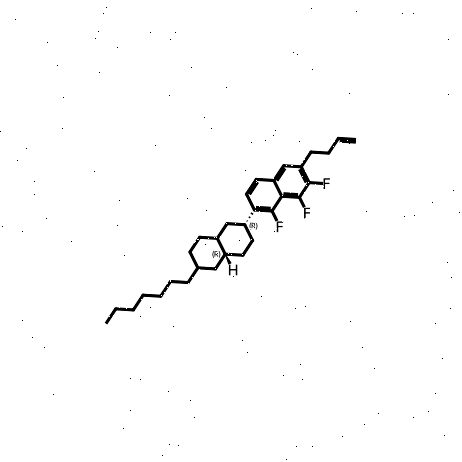 C=CCCc1cc2ccc([C@@H]3CC[C@@H]4CC(CCCCCCC)CCC4C3)c(F)c2c(F)c1F